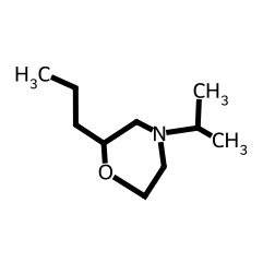 CCCC1CN(C(C)C)CCO1